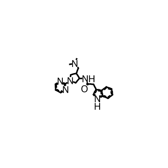 CN(C)CC1CN(c2ncccn2)CC1NC(=O)Cc1c[nH]c2ccccc12